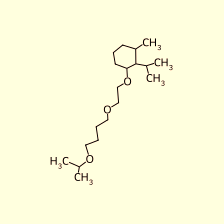 CC(C)OCCCCOCCOC1CCCC(C)C1C(C)C